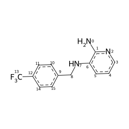 Nc1ncccc1NCc1ccc(C(F)(F)F)cc1